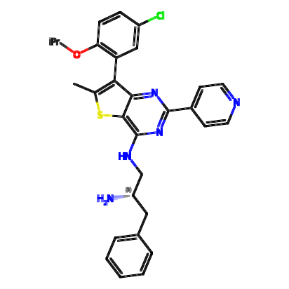 Cc1sc2c(NC[C@@H](N)Cc3ccccc3)nc(-c3ccncc3)nc2c1-c1cc(Cl)ccc1OC(C)C